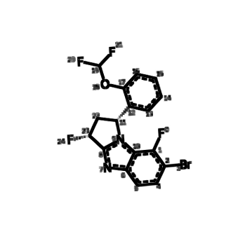 Fc1c(Br)ccc2nc3n(c12)[C@@H](c1ccccc1OC(F)F)C[C@H]3F